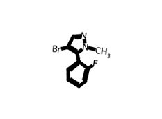 Cn1ncc(Br)c1-c1ccccc1F